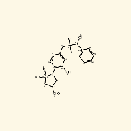 CC(C)(Cc1ccc(N2CC(C=O)NS2(=O)=O)c(O)c1)C(O)c1ccccc1